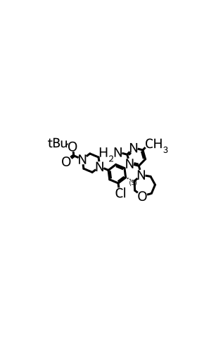 Cc1cc(N2CCCOC[C@@H]2c2ccc(N3CCN(C(=O)OC(C)(C)C)CC3)cc2Cl)nc(N)n1